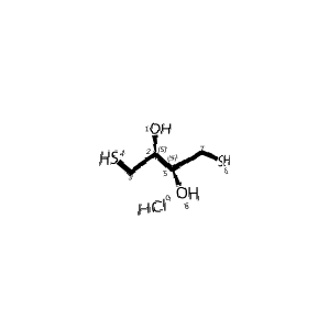 Cl.O[C@H](CS)[C@H](O)CS